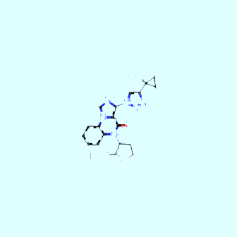 CC1OCCC1n1c(=O)c2c(-n3cc(C4(C)CC4)nn3)ncn2c2ccccc21